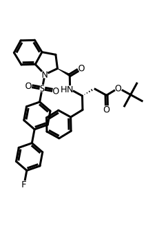 CC(C)(C)OC(=O)C[C@H](Cc1ccccc1)NC(=O)[C@@H]1Cc2ccccc2N1S(=O)(=O)c1ccc(-c2ccc(F)cc2)cc1